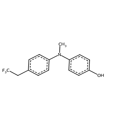 CN(c1ccc(O)cc1)c1ccc(CC(F)(F)F)cc1